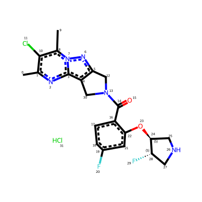 Cc1nc2c3c(nn2c(C)c1Cl)CN(C(=O)c1ccc(F)cc1O[C@H]1CNC[C@@H]1F)C3.Cl